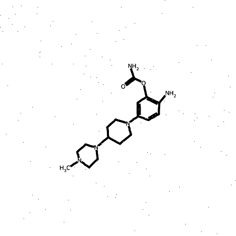 CN1CCN(C2CCN(c3ccc(N)c(OC(N)=O)c3)CC2)CC1